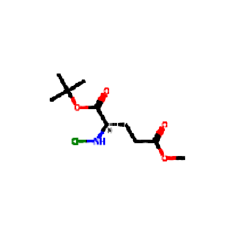 COC(=O)CC[C@H](NCl)C(=O)OC(C)(C)C